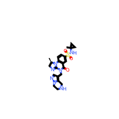 C[C@@H]1CN=C2N(Cc3cnn4c3CNCC4)C(=O)c3cc(S(=O)(=O)NC4(C)CC4)ccc3N21